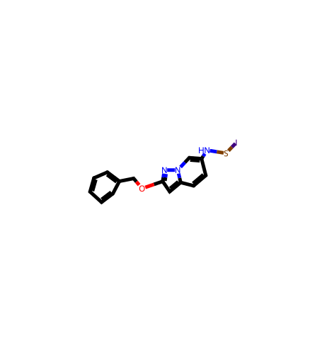 ISNc1ccc2cc(OCc3ccccc3)nn2c1